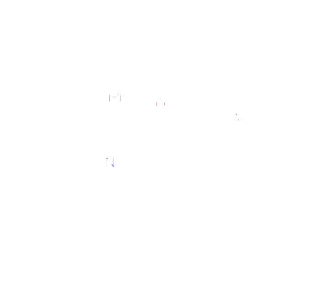 CC(=O)CC(C[N+](C)(C)C)OC(C)C